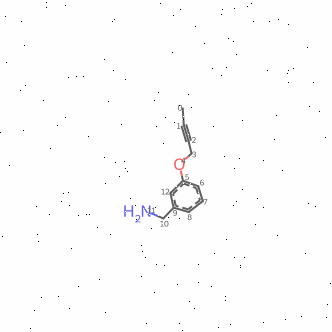 CC#CCOc1cccc(CN)c1